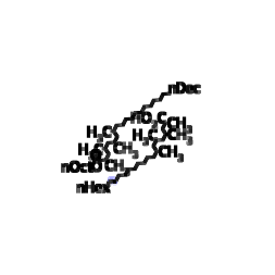 CCCCCC/C=C/CCCCCCCCC(C)CC(C)CC(C)CC(C)C(=O)O.CCCCCCCCCCCCCCCCCCCCCCC(C)CC(C)CC(C)CC(C)C(=O)OCCCCCCCC